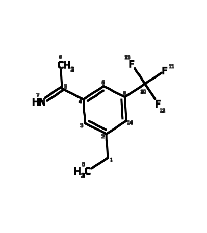 CCc1cc(C(C)=N)cc(C(F)(F)F)c1